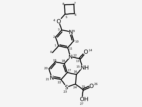 Cc1cc(OC2CCC2)ncc1N1C(=O)NC2c3c1ccnc3SC2C(=O)O